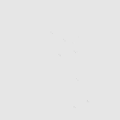 CC1CN(Cc2ncno2)CC1C1=NC2=CN(C3CCOCC3)CN2C(=O)N1